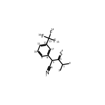 CC(C)C(=S)C(C#N)c1cccc(C(F)(F)F)c1